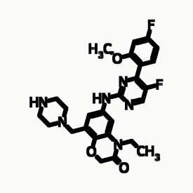 CCN1C(=O)COc2c(CN3CCNCC3)cc(Nc3ncc(F)c(-c4ccc(F)cc4OC)n3)cc21